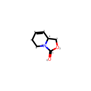 O=C1OC[C]2C=CCCN21